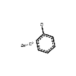 Clc1ccccc1.[O-2].[Zn+2]